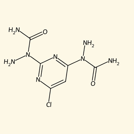 NC(=O)N(N)c1cc(Cl)nc(N(N)C(N)=O)n1